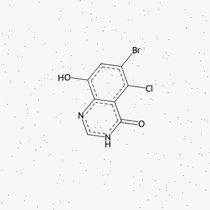 O=c1[nH]cnc2c(O)cc(Br)c(Cl)c12